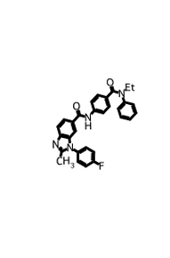 CCN(C(=O)c1ccc(NC(=O)c2ccc3nc(C)n(-c4ccc(F)cc4)c3c2)cc1)c1ccccc1